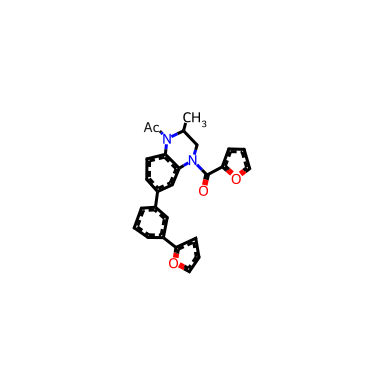 CC(=O)N1c2ccc(-c3cccc(-c4ccco4)c3)cc2N(C(=O)c2ccco2)CC1C